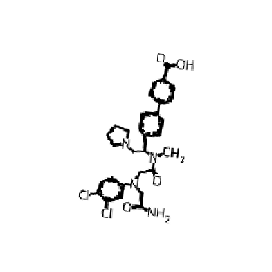 CN(C(=O)CN(CC(N)=O)c1ccc(Cl)c(Cl)c1)[C@@H](CN1CCCC1)c1ccc(-c2ccc(C(=O)O)cc2)cc1